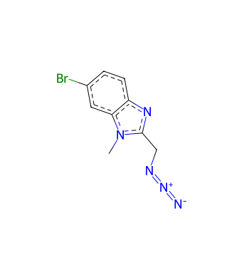 Cn1c(CN=[N+]=[N-])nc2ccc(Br)cc21